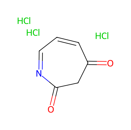 Cl.Cl.Cl.O=C1C=CC=NC(=O)C1